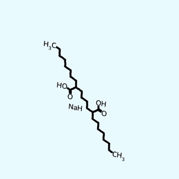 CCCCCCCCC(CCCCC(CCCCCCCC)C(=O)O)C(=O)O.[NaH]